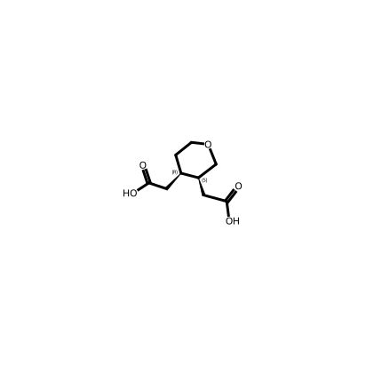 O=C(O)C[C@H]1CCOC[C@H]1CC(=O)O